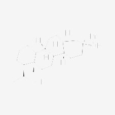 CCC[C@@]1(O)CC[C@H]2[C@@H](CC[C@@H]3[C@@H]2CC[C@]2(C)[C@@H](C(C)O)CCC[C@@H]32)C1